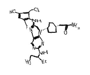 CC[C@@H](CO)Nc1ncc2nc(Nc3c(F)cc(C#N)cc3Cl)n([C@H]3CC[C@@H](CC(N)=O)CC3)c2n1